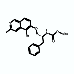 CCCCOC(=O)N[C@@H](COc1ccc2cnc(C)cc2c1Br)Cc1ccccc1